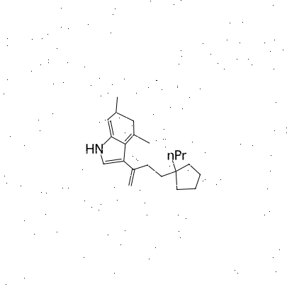 C=C(CCC1(CCC)CCCC1)c1c[nH]c2c1=C(C)CC(C)C=2